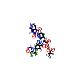 Cc1cc(N2CCOC[C@@H]2C(F)(F)F)cc(F)c1C(=O)N[C@@H](Cc1ccc(-n2c(=O)c3ccncc3n(C)c2=O)nc1)C(=O)OCOC(=O)C(C)(C)C